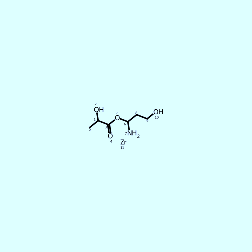 CC(O)C(=O)OC(N)CCO.[Zr]